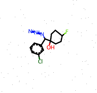 [N-]=[N+]=NC(c1cccc(Cl)c1)C1(O)CCC(F)CC1